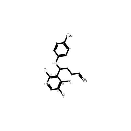 C=CCCC(Nc1ccc(OC)cc1)c1c(F)ncc(Cl)c1Br